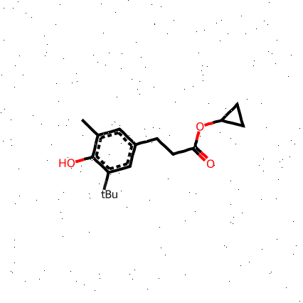 Cc1cc(CCC(=O)OC2CC2)cc(C(C)(C)C)c1O